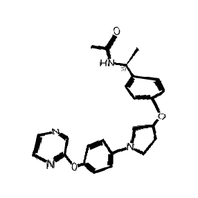 CC(=O)N[C@@H](C)c1ccc(OC2CCN(c3ccc(Oc4cnccn4)cc3)C2)cc1